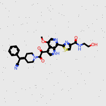 COc1cnc(-c2nc(C(=O)NCCO)cs2)c2[nH]cc(C(=O)C(=O)N3CCC(=C(C#N)c4ccccc4)CC3)c12